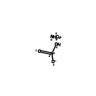 N.O=[N+]([O-])O.[Cu]